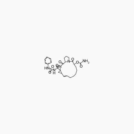 NC(=O)OC1CCCCC/C=C/C2CC2(C(=O)NS(=O)(=O)Nc2ccccc2)NC(=O)C2CCCN2C1=O